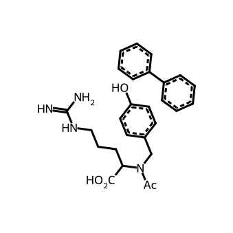 CC(=O)N(Cc1ccc(O)cc1)C(CCCNC(=N)N)C(=O)O.c1ccc(-c2ccccc2)cc1